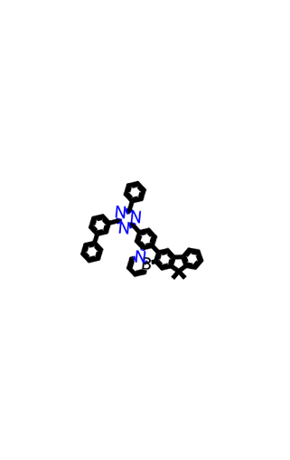 CC1(C)c2ccccc2-c2cc3c(cc21)B1C=CC=CN1c1cc(-c2nc(-c4ccccc4)nc(-c4cccc(-c5ccccc5)c4)n2)ccc1-3